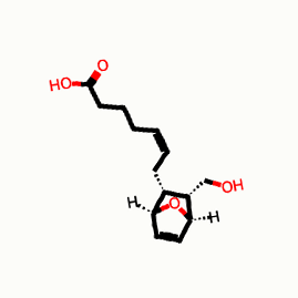 O=C(O)CCC/C=C\C[C@@H]1[C@H](CO)[C@H]2C=C[C@@H]1O2